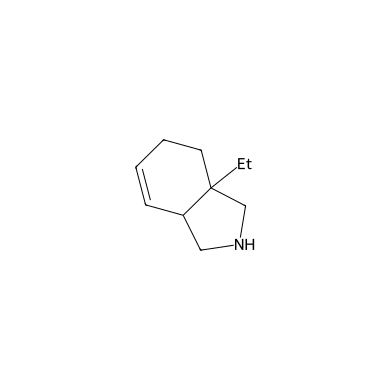 CCC12CCC=CC1CNC2